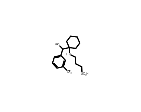 O=S(=O)(O)CCCNC1(C(O)c2cccc(C(F)(F)F)c2)CCCCC1